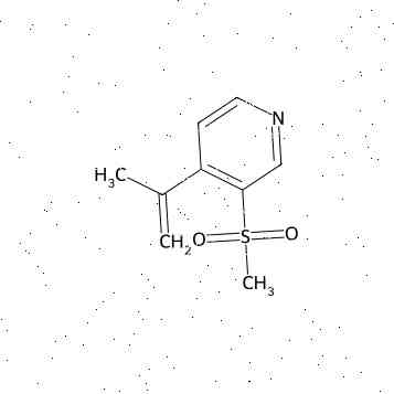 C=C(C)c1ccncc1S(C)(=O)=O